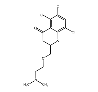 CN(C)CCOCC1CC(=O)c2c(Cl)c(Cl)cc(Cl)c2S1